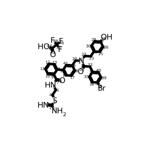 N=C(N)SCCNC(=O)c1ccccc1-c1cccc(CN(CCc2ccc(O)cc2)C(=O)Cc2ccc(Br)cc2)c1.O=C(O)C(F)(F)F